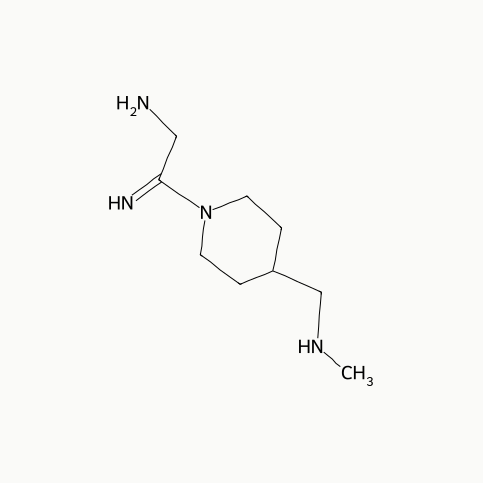 CNCC1CCN(C(=N)CN)CC1